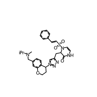 CC(C)N(C)Cc1ccc2c(c1)OCCC2n1cc(CC2C(=O)NC=CN2S(=O)(=O)C=Cc2ccccc2)nn1